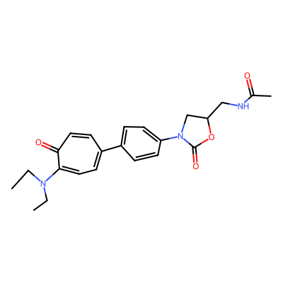 CCN(CC)c1ccc(-c2ccc(N3CC(CNC(C)=O)OC3=O)cc2)ccc1=O